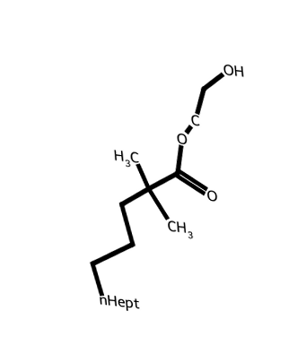 CCCCCCCCCCC(C)(C)C(=O)OCCO